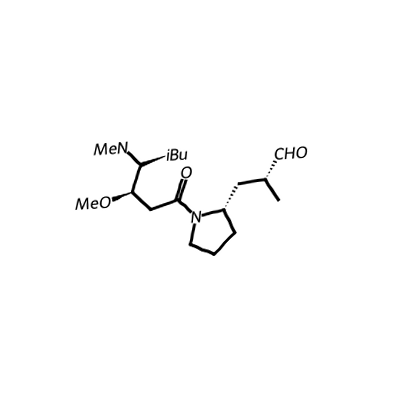 CC[C@H](C)C(NC)[C@@H](CC(=O)N1CCC[C@H]1C[C@@H](C)C=O)OC